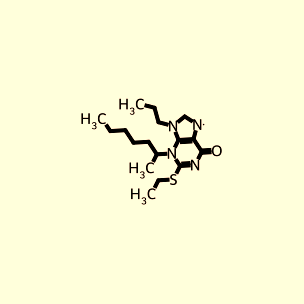 CCCCCC(C)n1c(SCC)nc(=O)c2c1N(CCC)C[N]2